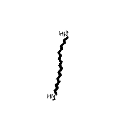 CNCCCCCCCCCCCCCCCCCCCNC